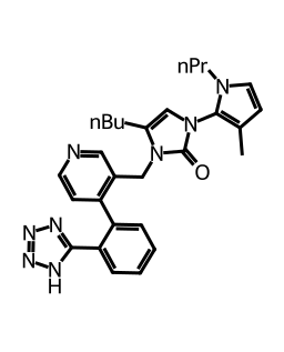 CCCCc1cn(-c2c(C)ccn2CCC)c(=O)n1Cc1cnccc1-c1ccccc1-c1nnn[nH]1